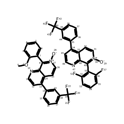 COc1ccccc1-c1c2nccc(-c3cccc(C(F)(F)F)c3)c2cc[n+]1[O-].[O-][n+]1ccc2c(-c3cccc(C(F)(F)F)c3)ccnc2c1-c1c(F)cccc1F